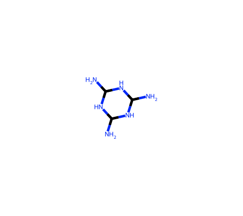 N[C]1N[C](N)N[C](N)N1